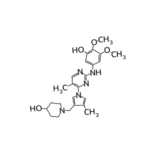 COc1cc(Nc2ncc(C)c(-n3cc(C)c(CN4CCC(O)CC4)c3)n2)cc(O)c1OC